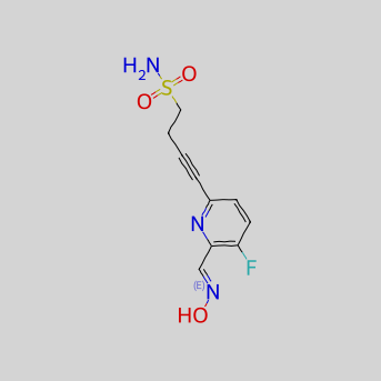 NS(=O)(=O)CCC#Cc1ccc(F)c(/C=N/O)n1